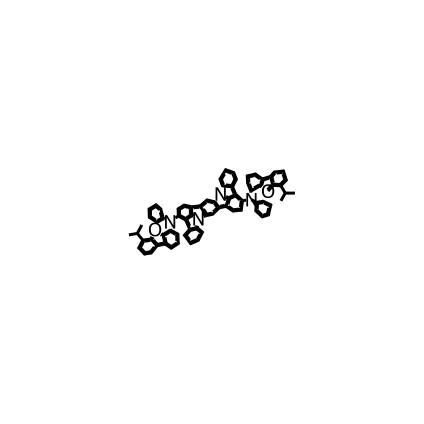 CC(C)c1cccc2c1oc1c(N(c3ccccc3)c3ccc4c5cc6c(cc5n5c7ccccc7c3c45)c3ccc(N(c4ccccc4)c4cccc5c4oc4c(C(C)C)cccc45)c4c5ccccc5n6c34)cccc12